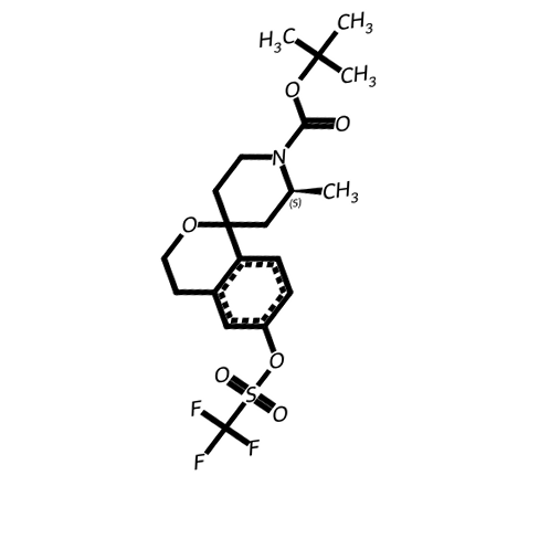 C[C@H]1CC2(CCN1C(=O)OC(C)(C)C)OCCc1cc(OS(=O)(=O)C(F)(F)F)ccc12